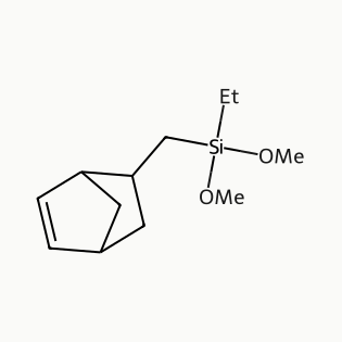 CC[Si](CC1CC2C=CC1C2)(OC)OC